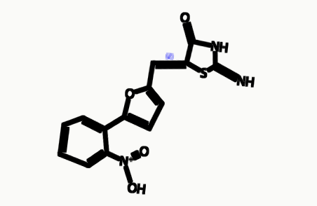 N=C1NC(=O)/C(=C/c2ccc(-c3ccccc3[N+](=O)O)o2)S1